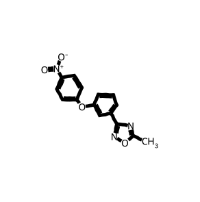 Cc1nc(-c2cccc(Oc3ccc([N+](=O)[O-])cc3)c2)no1